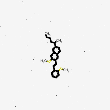 CCCCC(C)c1ccc2cc(C=Cc3ccccc3SC)c(SC)cc2c1